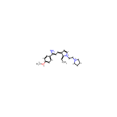 C/C=c1/c(=C\C=C(/N)c2ccc(OC)cc2)ccn1CCN1CCCC1